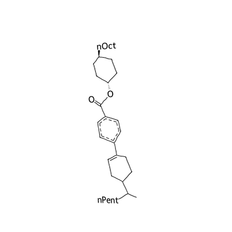 CCCCCCCC[C@H]1CC[C@H](OC(=O)c2ccc(C3=CCC(C(C)CCCCC)CC3)cc2)CC1